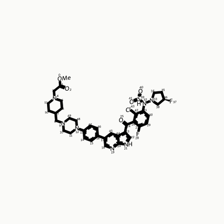 COC(=O)CN1CCC(CN2CCN(c3ccc(-c4cnc5[nH]cc(C(=O)c6c(F)ccc(N(N7CC[C@@H](F)C7)[SH](=O)=O)c6Cl)c5c4)cc3)CC2)CC1